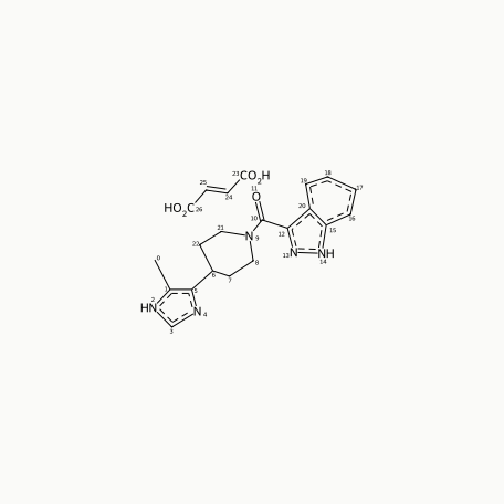 Cc1[nH]cnc1C1CCN(C(=O)c2n[nH]c3ccccc23)CC1.O=C(O)C=CC(=O)O